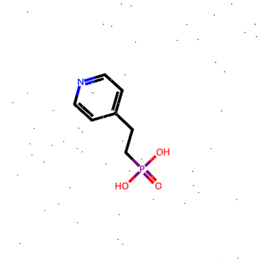 O=P(O)(O)CCc1ccncc1